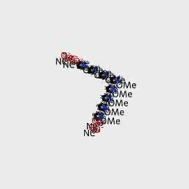 COC[N+]1(C)CCCC1.COC[N+]1(C)CCCC1.COC[N+]1(C)CCCC1.COC[N+]1(C)CCCC1.COC[N+]1(C)CCCC1.COC[N+]1(C)CCCC1.COC[N+]1(C)CCCC1.COC[N+]1(C)CCCC1.N#CB([O-])[O-].N#CB([O-])[O-].N#CB([O-])[O-].N#CB([O-])[O-]